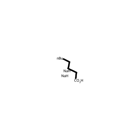 CCCCCCCC(=O)O.[NaH].[NaH]